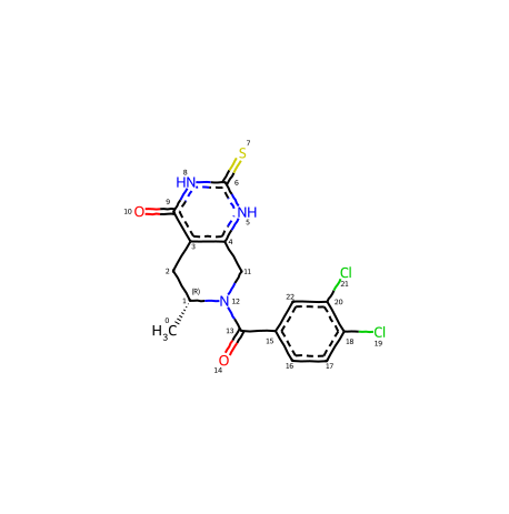 C[C@@H]1Cc2c([nH]c(=S)[nH]c2=O)CN1C(=O)c1ccc(Cl)c(Cl)c1